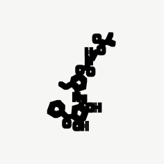 C=C(C)C(=O)OCCNC(=O)Oc1ccc(N=Nc2cc(C(=O)c3ccccc3)c(O)cc2O)c(CC)c1